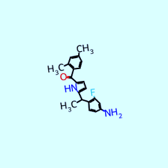 Cc1ccc(C(=O)c2ccc(C(C)c3ccc(N)cc3F)[nH]2)c(C)c1